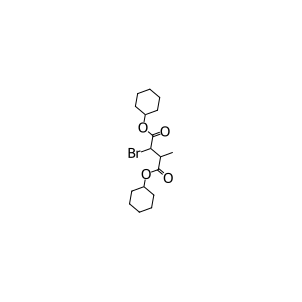 CC(C(=O)OC1CCCCC1)C(Br)C(=O)OC1CCCCC1